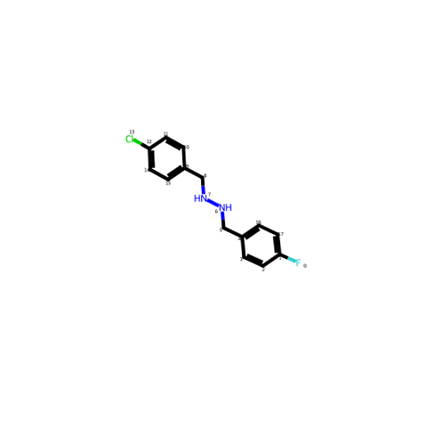 Fc1ccc(CNNCc2ccc(Cl)cc2)cc1